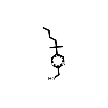 CCCCC(C)(C)c1cnc(CO)nc1